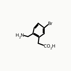 NCc1ccc(Br)cc1CC(=O)O